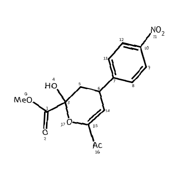 COC(=O)C1(O)CC(c2ccc([N+](=O)[O-])cc2)C=C(C(C)=O)O1